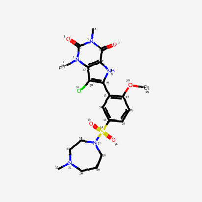 CCCn1c(=O)n(C)c(=O)c2[nH]c(-c3cc(S(=O)(=O)N4CCCN(C)CC4)ccc3OCC)c(Cl)c21